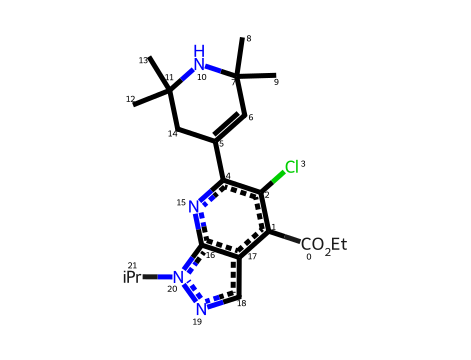 CCOC(=O)c1c(Cl)c(C2=CC(C)(C)NC(C)(C)C2)nc2c1cnn2C(C)C